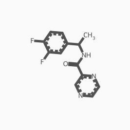 CC(NC(=O)c1cnccn1)c1ccc(F)c(F)c1